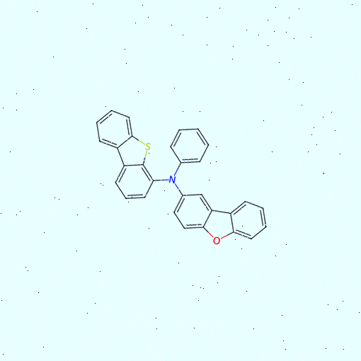 c1ccc(N(c2ccc3oc4ccccc4c3c2)c2cccc3c2sc2ccccc23)cc1